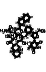 CC(C)(C)NC(=O)[C@@H]1C[C@@H]2CCCC[C@@H]2CN1C[C@@H](O)[C@H](Cc1ccccc1)NC(=O)[C@H](CC(N)=O)NC(=O)c1ccc2ccccc2n1.Cc1cn([C@H]2C=C[C@@H](CO)O2)c(=O)[nH]c1=O